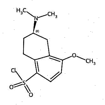 COc1ccc(S(=O)(=O)Cl)c2c1C[C@H](N(C)C)CC2